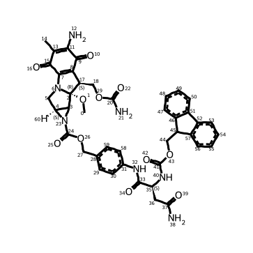 CO[C@]12C3[C@H](CN1C1=C(C(=O)C(N)=C(C)C1=O)[C@H]2COC(N)=O)N3C(=O)OCc1ccc(NC(=O)[C@H](CC(N)=O)NC(=O)OCC2c3ccccc3-c3ccccc32)cc1